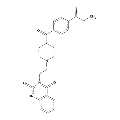 CCC(=O)c1ccc(C(=O)C2CCN(CCn3c(=O)[nH]c4ccccc4c3=O)CC2)cc1